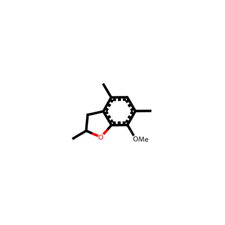 COc1c(C)cc(C)c2c1OC(C)C2